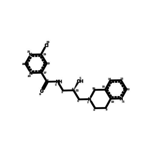 O=C(NC[C@H](O)CN1CCc2ncccc2C1)c1cc(Cl)ncn1